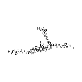 C=CC(=O)OCCCCCCOc1ccc(C(=O)Oc2ccc(OC(=O)c3ccc(OCCCCCCOC(=O)C=C)c(OCCCCCCOC(=O)C=C)c3)c(C)c2)cc1